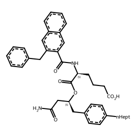 CCCCCCCc1ccc(C[C@@H](CC(N)=O)OC(=O)[C@H](CCCC(=O)O)NC(=O)c2cc3ccccc3cc2Cc2ccccc2)cc1